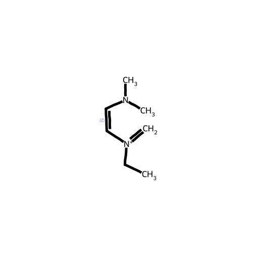 C=[N+](/C=C\N(C)C)CC